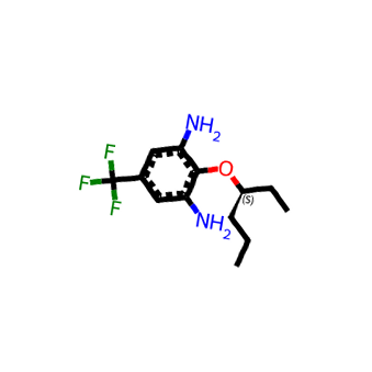 CCC[C@H](CC)Oc1c(N)cc(C(F)(F)F)cc1N